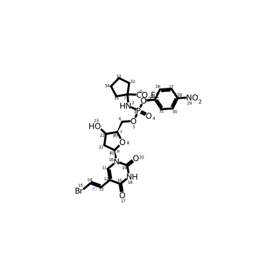 CCOC(=O)C1(NP(=O)(OC[C@H]2O[C@@H](n3cc(/C=C/Br)c(=O)[nH]c3=O)CC2O)Oc2ccc([N+](=O)[O-])cc2)CCCC1